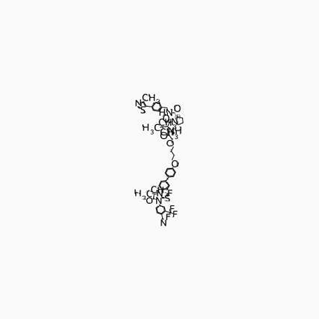 Cc1ncsc1-c1ccc(CNC(=O)[C@@H]2CCCN2C(=O)C(NC(=O)COCCCCOc2ccc(-c3ccc(N4C(=S)N(c5ccc(C#N)c(C(F)(F)F)c5)C(=O)C4(C)C)c(F)c3)cc2)C(C)(C)C)cc1